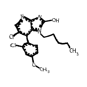 CCCCCn1c(O)nc2ncc(Cl)c(-c3ccc(OC)cc3Cl)c21